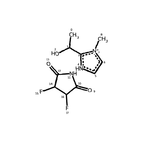 CC(O)c1[nH]cc[n+]1C.O=C1NC(=O)C(F)C1F